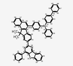 CC1(C)c2cc(-c3nc(-c4ccccc4)c4sc5ccccc5c4n3)ccc2-c2c(-c3ccc(N(c4ccccc4)c4ccc(-c5ccccc5)cc4)cc3)cc3ccccc3c21